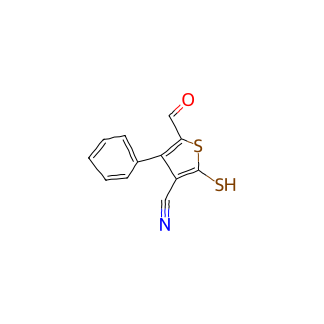 N#Cc1c(S)sc(C=O)c1-c1ccccc1